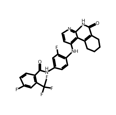 O=C(Nc1ccc(Nc2ccnc3[nH]c(=O)c4c(c23)CCCC4)c(F)c1)c1ccc(F)cc1C(F)(F)F